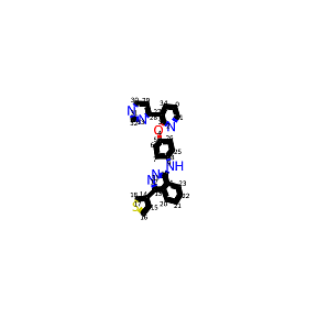 c1cnc(Oc2ccc(Nc3nnc(-c4ccsc4)c4ccccc34)cc2)c(-c2ccncn2)c1